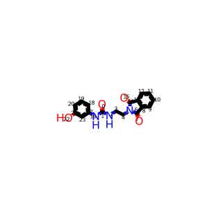 O=C(NCCN1C(=O)c2ccccc2C1=O)Nc1cccc(O)c1